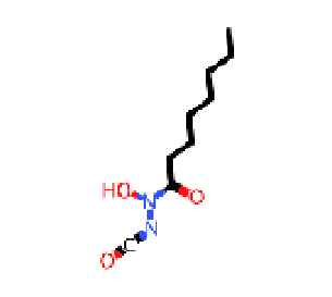 CCCCCCCC(=O)N(O)N=C=O